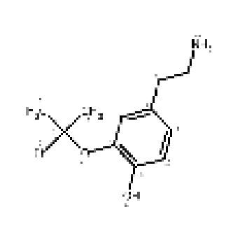 CCC(C)(C)Oc1cc(CCN)ccc1O